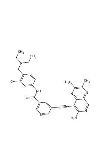 CCN(CC)Cc1ccc(NC(=O)c2cncc(C#Cc3c(N)ncc4nc(C)c(C)nc34)c2)cc1Cl